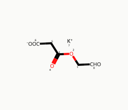 O=CCOC(=O)CC(=O)[O-].[K+]